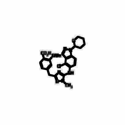 COc1cc(Cc2nc(Nc3ccc4c(cnn4C4CCCCO4)c3Cl)n(C)n2)ccc1C(=O)O